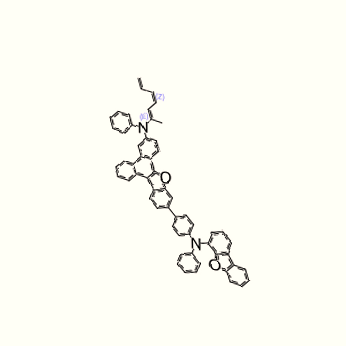 C=C/C=C\C=C(/C)N(c1ccccc1)c1ccc2c(c1)c1ccccc1c1c3ccc(-c4ccc(N(c5ccccc5)c5cccc6c5oc5ccccc56)cc4)cc3oc21